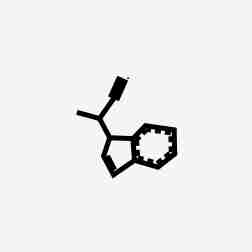 [C]#CC(C)C1C=Cc2ccccc21